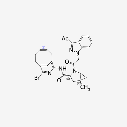 CC(=O)c1nn(CC(=O)N2C3C[C@]3(C)C[C@H]2C(=O)Nc2nc(Br)c3cc2C/C=C\CC3)c2ccccc12